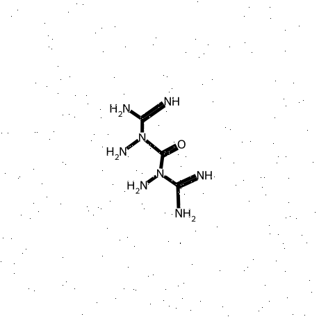 N=C(N)N(N)C(=O)N(N)C(=N)N